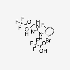 Fc1cccc(Br)c1NC1=NCCN1.O=C(O)C(F)(F)F.O=C(O)C(F)(F)F